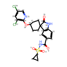 O=C(NS(=O)(=O)C1CC1)c1ccc2c(c1)C1(CCC(Oc3ncc(Cl)cc3Cl)CC1)C(=O)N2